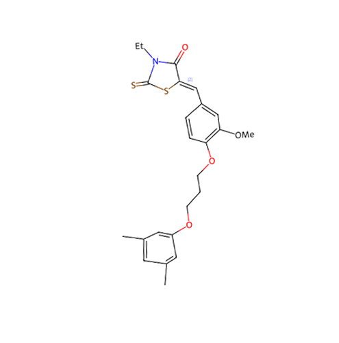 CCN1C(=O)/C(=C/c2ccc(OCCCOc3cc(C)cc(C)c3)c(OC)c2)SC1=S